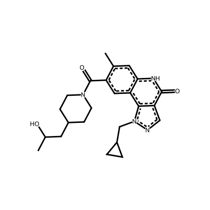 Cc1cc2[nH]c(=O)c3cnn(CC4CC4)c3c2cc1C(=O)N1CCC(CC(C)O)CC1